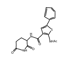 CC(=O)Nc1sc(-c2ccccc2)cc1C(=O)NC1CCC(=O)NC1=O